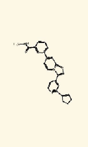 CNC(=O)c1cccc(-c2ccn3c(-c4ccnc(C5=CCCC5)c4)cnc3c2)c1